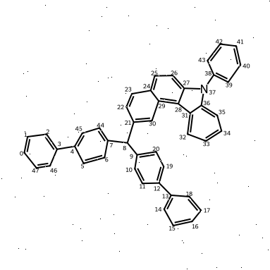 c1ccc(-c2ccc(C(c3ccc(-c4ccccc4)cc3)c3ccc4ccc5c(c4c3)c3ccccc3n5-c3ccccc3)cc2)cc1